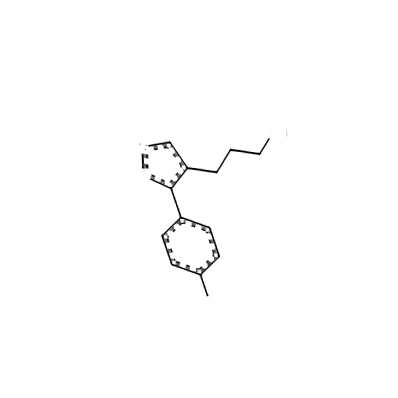 OCCCc1cnoc1-c1ccc(C(F)(F)F)cc1